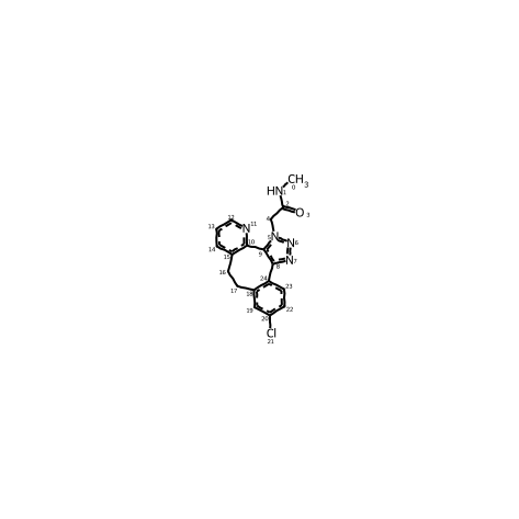 CNC(=O)Cn1nnc2c1-c1ncccc1CCc1cc(Cl)ccc1-2